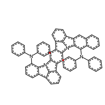 c1ccc(N(c2ccccc2)c2c3ccccc3cc3c4cccc5c6nc7c(cc6n(c23)c45)c2cccc3c4cccc(N(c5ccccc5)c5ccccc5)c4n7c23)cc1